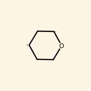 [C]1C[CH]OCC1